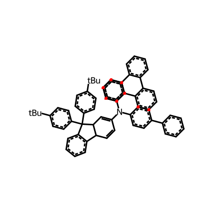 CC(C)(C)c1ccc(C2(c3ccc(C(C)(C)C)cc3)c3ccccc3C3C=CC(N(c4ccc(-c5ccccc5)cc4)c4ccccc4-c4ccccc4-c4ccccc4-c4ccccc4)=CC32)cc1